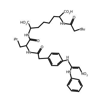 CC(C)CC(NC(=O)Cc1ccc(NC(=C[N+](=O)[O-])Nc2ccccc2)cc1)C(=O)NC(CCCCC(NC(=O)CC(C)(C)C)C(=O)O)C(=O)O